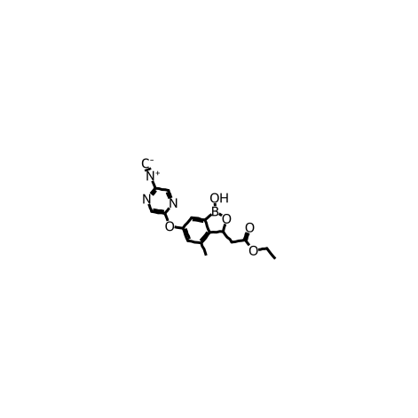 [C-]#[N+]c1cnc(Oc2cc(C)c3c(c2)B(O)OC3CC(=O)OCC)cn1